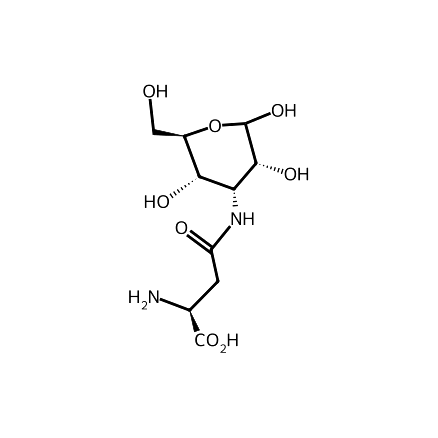 N[C@@H](CC(=O)N[C@@H]1[C@H](O)[C@@H](CO)OC(O)[C@@H]1O)C(=O)O